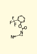 N#CC1CN1C(=O)Oc1ccccc1C(F)(F)F